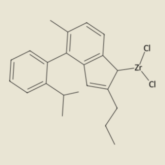 CCCC1=Cc2c(ccc(C)c2-c2ccccc2C(C)C)[CH]1[Zr]([Cl])[Cl]